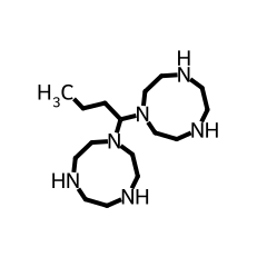 CCCC(N1CCNCCNCC1)N1CCNCCNCC1